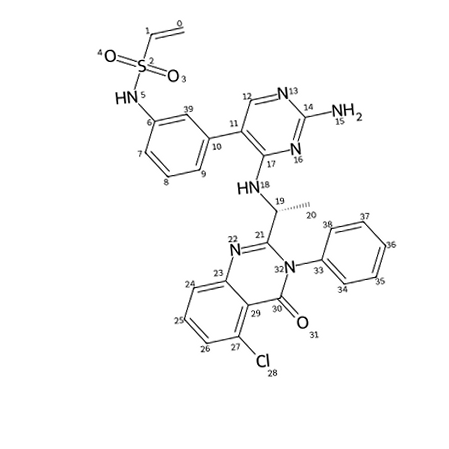 C=CS(=O)(=O)Nc1cccc(-c2cnc(N)nc2N[C@H](C)c2nc3cccc(Cl)c3c(=O)n2-c2ccccc2)c1